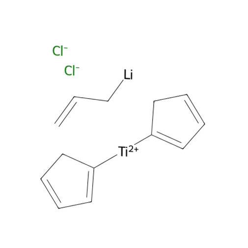 C1=CC[C]([Ti+2][C]2=CC=CC2)=C1.[Cl-].[Cl-].[Li][CH2]C=C